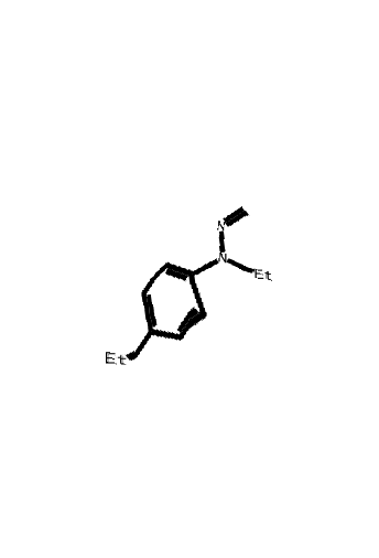 C=NN(CC)c1ccc(CC)cc1